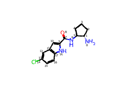 N[C@H]1CCCC1NC(=O)c1cc2cc(Cl)ccc2[nH]1